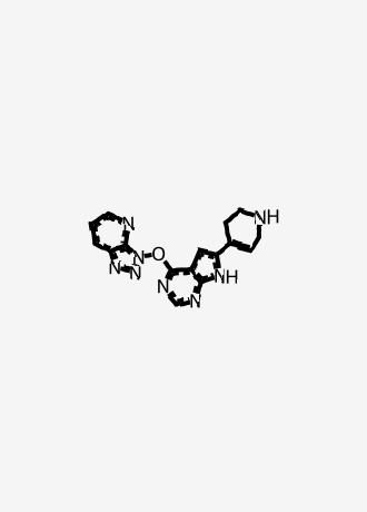 C1=C(c2cc3c(On4nnc5cccnc54)ncnc3[nH]2)CCNC1